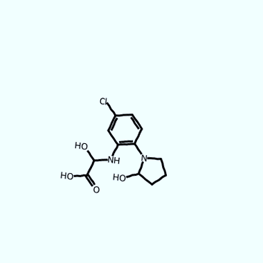 O=C(O)C(O)Nc1cc(Cl)ccc1N1CCCC1O